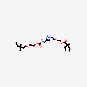 CCC(C)(C)CCOCCOC(=O)NCc1cn(CCOCCOC(=O)C(C)(CC)CC)nn1